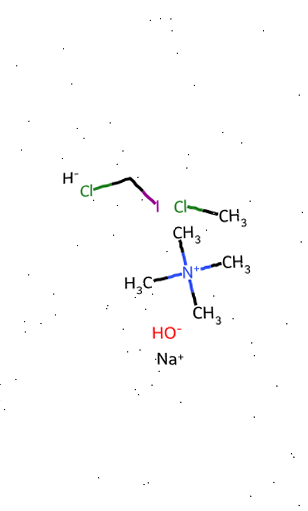 CCl.C[N+](C)(C)C.ClCI.[H-].[Na+].[OH-]